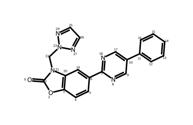 O=c1oc2ccc(-c3ncc(-c4ccccc4)cn3)cc2n1Cn1nccn1